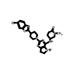 CN1CC(Nc2nc(N3CCC(c4nc5ccc(Cl)cc5o4)CC3)nc3c2[S+]([O-])CC3)CCC1=O